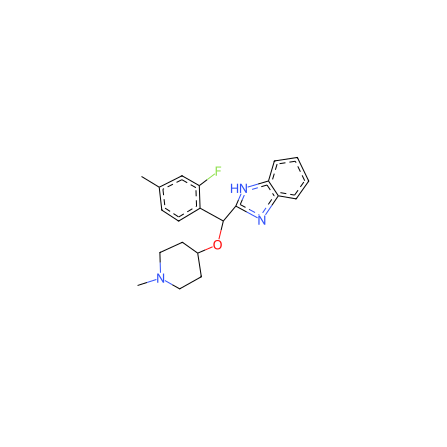 Cc1ccc(C(OC2CCN(C)CC2)c2nc3ccccc3[nH]2)c(F)c1